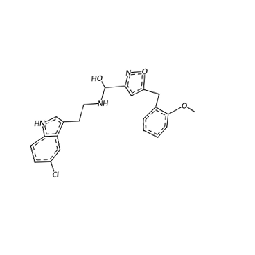 COc1ccccc1Cc1cc(C(O)NCCc2c[nH]c3ccc(Cl)cc23)no1